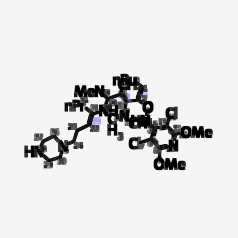 CCCC/C=C(ONc1c(Cl)c(OC)nc(OC)c1Cl)\C(=C(/C)C(NC)N/C(=C/CCN1CCNCC1)CCC)N(C)C